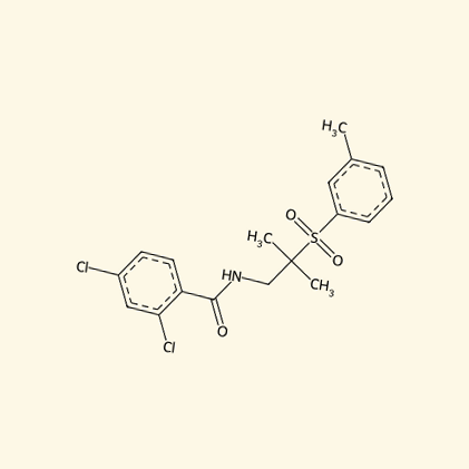 Cc1cccc(S(=O)(=O)C(C)(C)CNC(=O)c2ccc(Cl)cc2Cl)c1